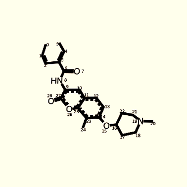 C/C=C\C(=C/C)C(=O)Nc1cc2ccc(OC3CCN(C)CC3)c(C)c2oc1=O